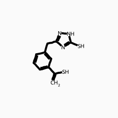 C=C(S)c1cccc(Cc2n[nH]c(S)n2)c1